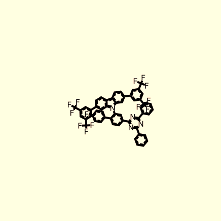 Fc1ccc(-c2ccc(-c3nc(-c4ccccc4)nc(-c4ccccc4)n3)cc2-n2c3cc(-c4cc(C(F)(F)F)cc(C(F)(F)F)c4)ccc3c3ccc(-c4cc(C(F)(F)F)cc(C(F)(F)F)c4)cc32)cc1